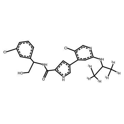 [2H]C([2H])([2H])C(Nc1cc(-c2c[nH]c(C(=O)NC(CO)c3cccc(Cl)c3)c2)c(Cl)cn1)C([2H])([2H])[2H]